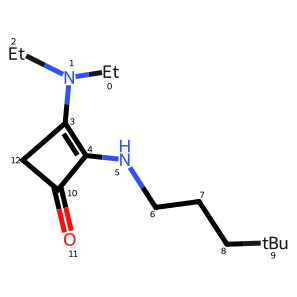 CCN(CC)C1=C(NCCCC(C)(C)C)C(=O)C1